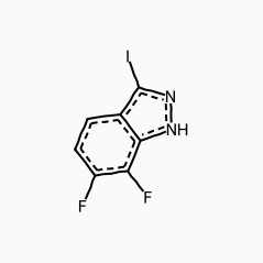 Fc1ccc2c(I)n[nH]c2c1F